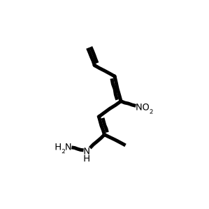 C=C/C=C(\C=C(/C)NN)[N+](=O)[O-]